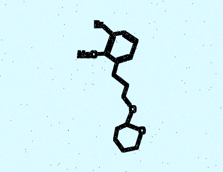 COc1c(Br)cccc1CCCOC1CCCCO1